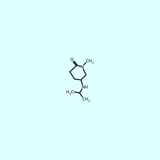 CC(C)NC1CCC(=O)N(C)C1